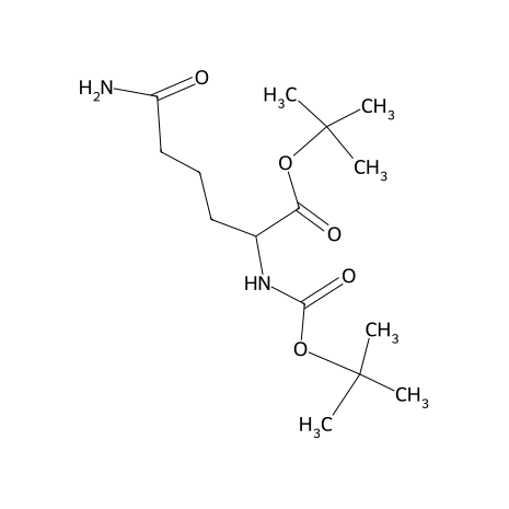 CC(C)(C)OC(=O)NC(CCCC(N)=O)C(=O)OC(C)(C)C